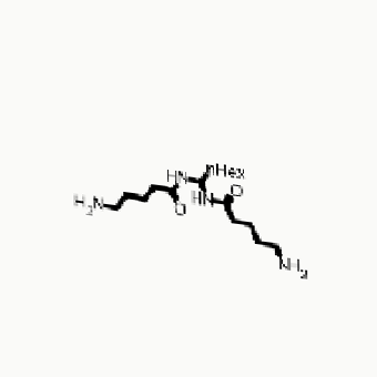 CCCCCCC(NC(=O)CCCCN)NC(=O)CCCCN